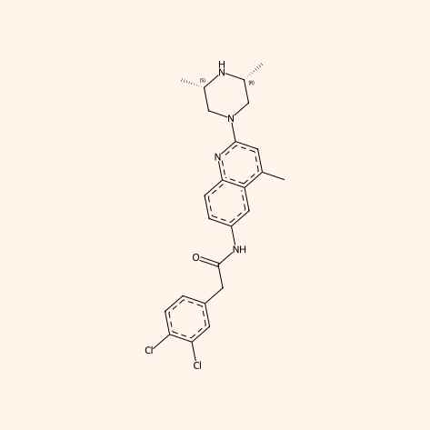 Cc1cc(N2C[C@@H](C)N[C@@H](C)C2)nc2ccc(NC(=O)Cc3ccc(Cl)c(Cl)c3)cc12